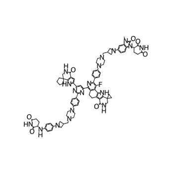 Cn1c(=O)n(C2CCC(=O)NC2=O)c2ccc(N3CC(CN4CCN(c5ccc(-c6nc(-c7cc(-c8cc9c([nH]8)C8(CCCC8)CNC9=O)nc(-c8ccc(N9CCN(CC%10CN(c%11ccc(NC%12CCC(=O)NC%12=O)cc%11)C%10)CC9)cc8)n7)c7c(c6F)-c6[nH]c8c(c6CC7)C(=O)NCC86CC6)cc5)CC4)C3)cc21